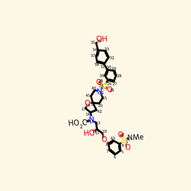 CNS(=O)(=O)c1cccc(OCC(O)CN(C(=O)O)C2COC3(CCN(S(=O)(=O)c4cccc(-c5ccc(CO)cc5)c4)CC3)C2)c1